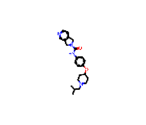 CC(C)CN1CCC(Oc2ccc(NC(=O)N3Cc4ccncc4C3)cc2)CC1